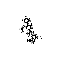 CN(Cc1ccc(C#N)c2cn[nH]c12)C(=O)c1cc(F)c(-c2ccccc2)c(OC2CC2)n1